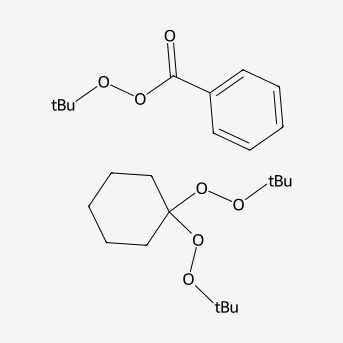 CC(C)(C)OOC(=O)c1ccccc1.CC(C)(C)OOC1(OOC(C)(C)C)CCCCC1